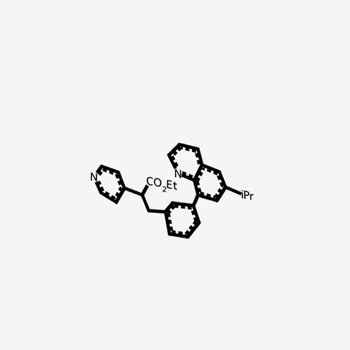 CCOC(=O)C(Cc1cccc(-c2cc(C(C)C)cc3cccnc23)c1)c1ccncc1